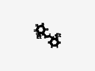 CCc1ccccc1C=Cc1ccccc1CC